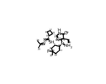 C=Cc1c(N(N)C2CCC(C)(F)CC2)nc([C@H]2CC[C@@H]2/C(S)=N/N=C(C)C)[nH]c1=O